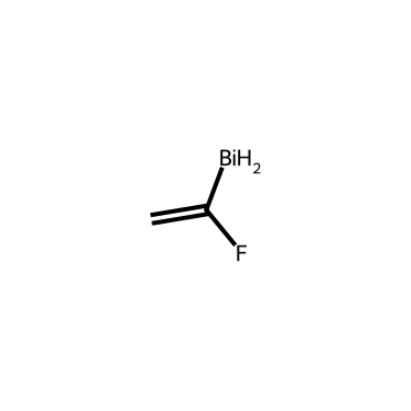 C=[C](F)[BiH2]